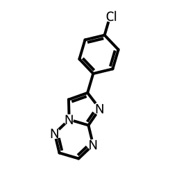 Clc1ccc(-c2cn3nccnc3n2)cc1